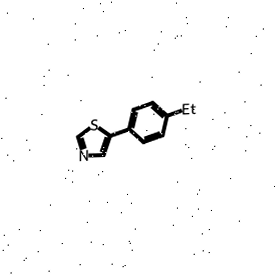 CCc1ccc(-c2cncs2)cc1